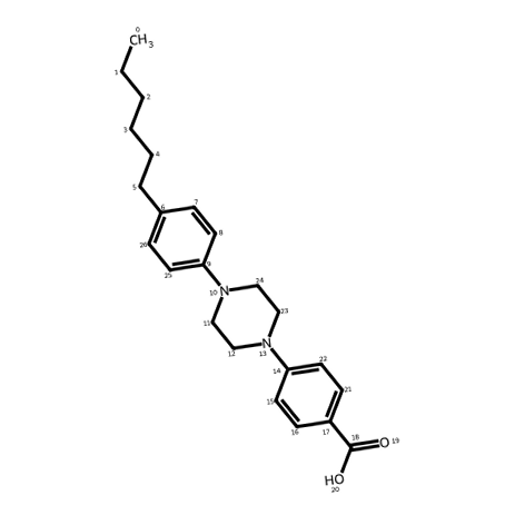 CCCCCCc1ccc(N2CCN(c3ccc(C(=O)O)cc3)CC2)cc1